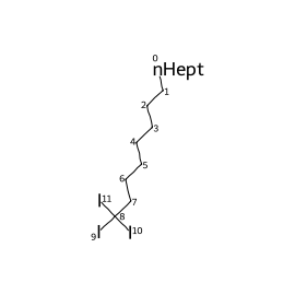 CCCCCCCCCCCCCCC(I)(I)I